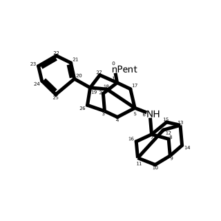 CCCCCC12CC3CC(NC45CC6CC(CC(C6)C4)C5)(C1)CC(c1ccccc1)(C3)C2